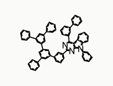 c1ccc(-c2cc(-c3ccccc3)cc(-c3cc(-c4ccccc4)cc(-c4cccc(-c5nc(-c6cccc(-c7ccccc7)c6)c6c7ccccc7n(-c7ccccc7)c6n5)c4)c3)c2)cc1